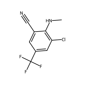 CNc1c(Cl)cc(C(F)(F)F)cc1C#N